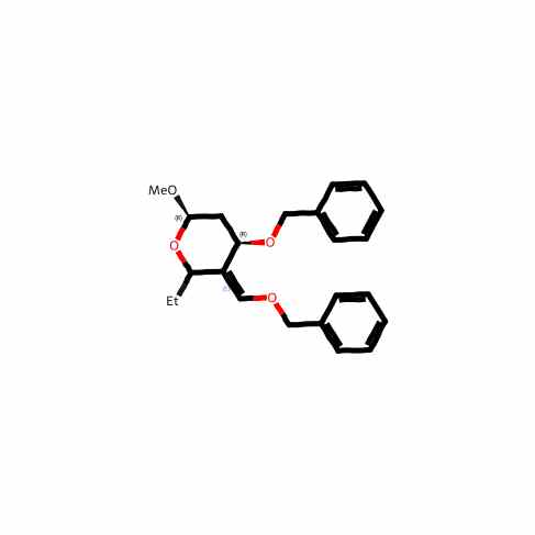 CCC1O[C@@H](OC)C[C@@H](OCc2ccccc2)/C1=C\OCc1ccccc1